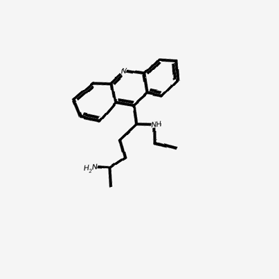 CCNC(CCC(C)N)c1c2ccccc2nc2ccccc12